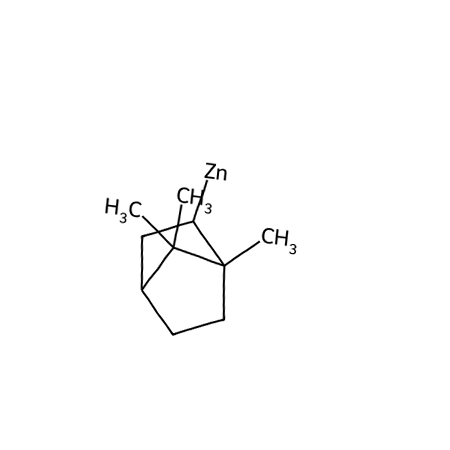 CC1(C)C2CCC1(C)[CH]([Zn])C2